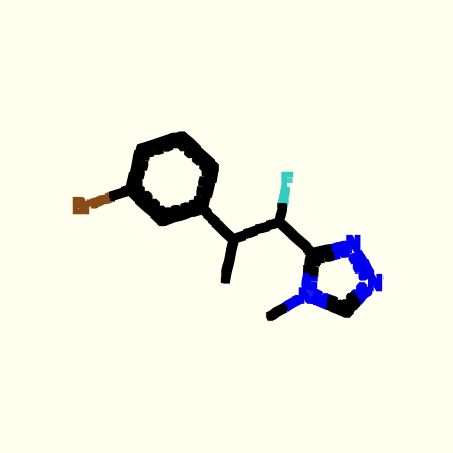 CC(c1cccc(Br)c1)C(F)c1nncn1C